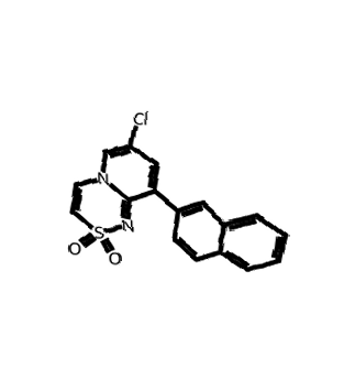 O=S1(=O)C=CN2C=C(Cl)C=C(c3ccc4ccccc4c3)C2=N1